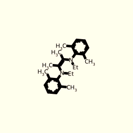 CCN(/C(C)=C(/C)N(CC)c1c(C)cccc1C)c1c(C)cccc1C